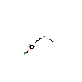 CC(=NOCC=C(Cl)Cl)OCCCCCOc1c(Cl)cc(OCC=C(Cl)Cl)cc1Cl